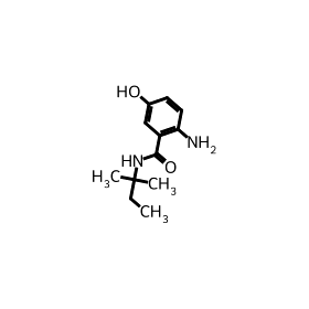 CCC(C)(C)NC(=O)c1cc(O)ccc1N